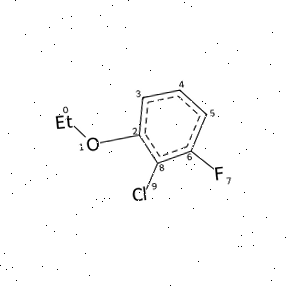 CCOc1cccc(F)c1Cl